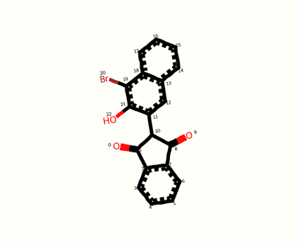 O=C1c2ccccc2C(=O)C1c1cc2ccccc2c(Br)c1O